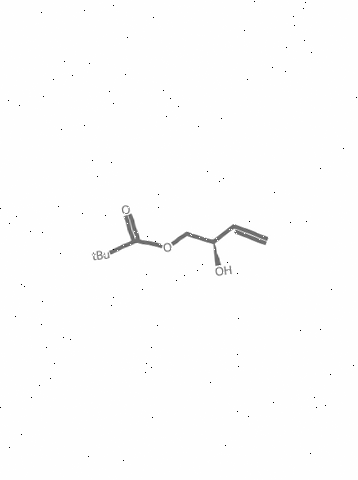 C=C[C@@H](O)COC(=O)C(C)(C)C